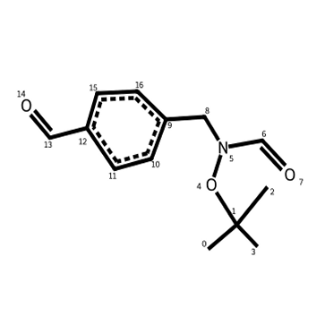 CC(C)(C)ON(C=O)Cc1ccc(C=O)cc1